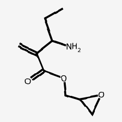 C=C(C(=O)OCC1CO1)C(N)CC